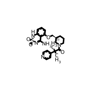 CC(C)(C(=O)N1CCC[C@H](COc2cccc3c2C(N)=NS(=O)(=O)N3)C1)c1ccncc1